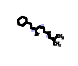 CN(C)/C=N/C/C=C\C(Br)=C/CC1=CCCCC1